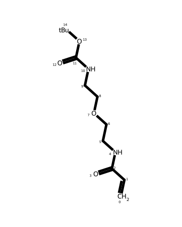 C=CC(=O)NCCOCCNC(=O)OC(C)(C)C